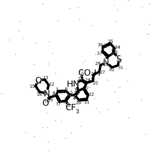 O=C(O)c1[nH]c2c(-c3ccc(C(=O)N4CCOCC4)cc3C(F)(F)F)cccc2c1CCCCN1CCSc2ccccc21